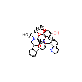 CCOC(OCC)[C@H](C)N(Cc1cccc2cccnc12)C(=O)[C@H](Cc1c(C)cc(O)cc1C)N(CC1c2ccccc2-c2ccccc21)C(=O)O